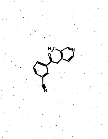 Cc1cnccc1CC(=O)c1cccc(C#N)c1